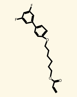 C=CC(=O)OCCCCCCOc1ccc(-c2cc(F)cc(F)c2)cc1